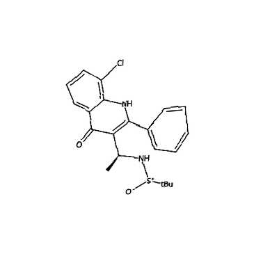 C[C@H](N[S+]([O-])C(C)(C)C)c1c(-c2ccccc2)[nH]c2c(Cl)cccc2c1=O